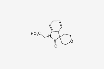 O=C(O)CN1C(=O)C2(CCOCC2)C2C=CCC=C21